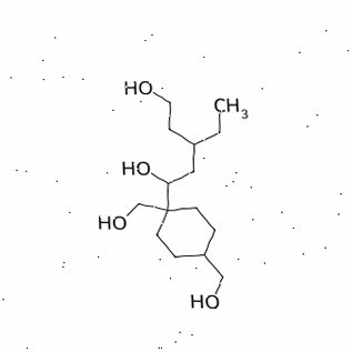 CCC(CCO)CC(O)C1(CO)CCC(CO)CC1